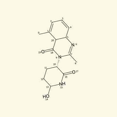 CC1=CC=CC2N=C(C)N([C@H]3CCC(O)NC3=O)C(=O)C12